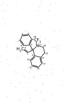 C=CC1(c2ccccc2)c2ccccc2CCN1C(F)(F)F